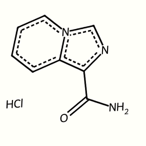 Cl.NC(=O)c1ncn2ccccc12